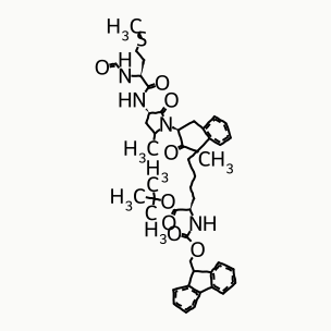 CSCC[C@H](NC=O)C(=O)N[C@H]1CC(C)N([C@H]2Cc3ccccc3C(C)(CCCC[C@@H](NC(=O)OCC3c4ccccc4-c4ccccc43)C(=O)OC(C)(C)C)C2=O)C1=O